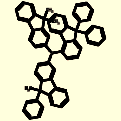 CC1(C)c2ccccc2-c2ccc(N(c3ccc4c(c3)-c3ccccc3C4(C)c3ccccc3)c3cccc4c3-c3ccccc3C4(c3ccccc3)c3ccccc3)cc21